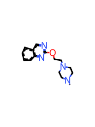 CN1CCN(CCOc2ncc3ccccc3n2)CC1